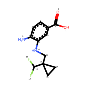 Nc1ccc(C(=O)O)cc1NCC1(C(F)F)CC1